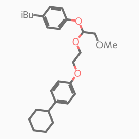 CCC(C)c1ccc(OC(COC)OCCOc2ccc(C3CCCCC3)cc2)cc1